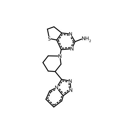 Nc1nc2c(c(N3CCCC(c4nnc5ccccn45)C3)n1)SCC2